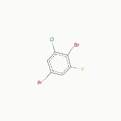 Fc1cc(Br)cc(Cl)c1Br